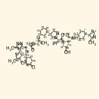 Cc1ncsc1-c1ccc(CNC(=O)[C@@H]2C[C@@H](O)CN2C(=O)C(C(C)C)n2cc(-c3cccc(O[C@H](C)CNC(=O)C[C@@H]4N=C(c5ccc(Cl)cc5)c5c(sc(C)c5C)-n5c(C)nnc54)c3)cn2)cc1